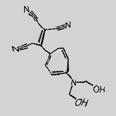 N#CC(C#N)=C(C#N)c1ccc(N(CO)CO)cc1